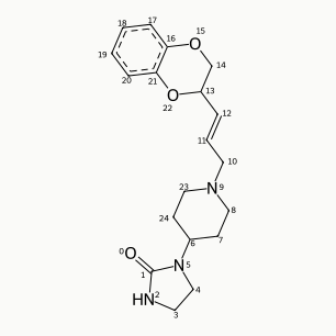 O=C1NCCN1C1CCN(CC=CC2COc3ccccc3O2)CC1